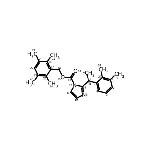 Cc1cccc([C@H](C)c2nccn2C(=O)OCc2c(C)c(C)cc(C)c2C)c1C